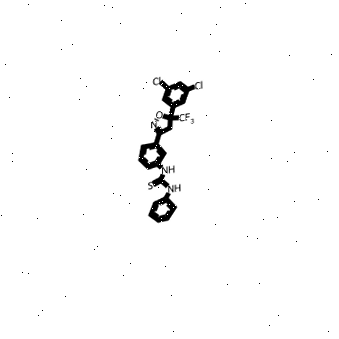 FC(F)(F)C1(c2cc(Cl)cc(Cl)c2)CC(c2cccc(NC(=S)Nc3ccccc3)c2)=NO1